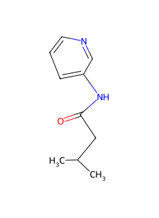 CC(C)CC(=O)Nc1cccnc1